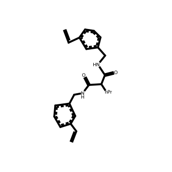 C=Cc1cccc(CNC(=O)C(CCC)C(=O)NCc2cccc(C=C)c2)c1